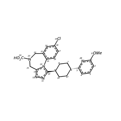 COc1cccc([C@H]2CC[C@H](c3nnc4n3-c3ccc(Cl)cc3CN(C(=O)O)C4)CC2)n1